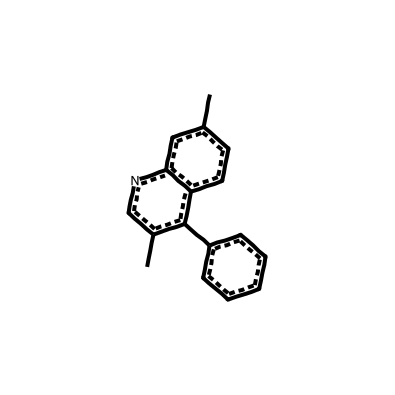 Cc1ccc2c(-c3ccccc3)c(C)cnc2c1